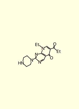 CCC(=O)c1cn(CC)c2nc(N3CCNCC3)ncc2c1=O